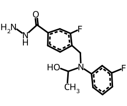 CC(O)N(Cc1ccc(C(=O)NN)cc1F)c1cccc(F)c1